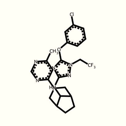 Cc1cc(N2CC3CCC(C2)C3Nc2nc(Oc3cccc(Cl)c3)n(CC(F)(F)F)n2)ncn1